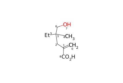 C=C(CC(C)(CC)CO)C(=O)O